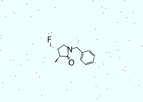 C[C@@H]1C(=O)N([C@H](C)c2ccccc2)C[C@H]1CF